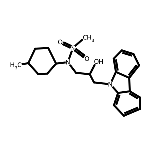 CC1CCC(N(CC(O)Cn2c3ccccc3c3ccccc32)S(C)(=O)=O)CC1